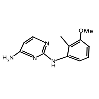 COc1cccc(Nc2nccc(N)n2)c1C